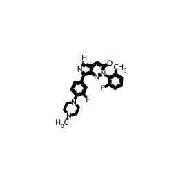 Cc1cccc(F)c1-n1nc2c(-c3ccc(N4CCN(C)CC4)c(F)c3)n[nH]c2cc1=O